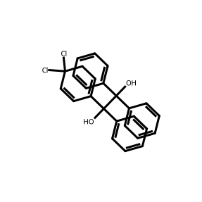 OC(C1=CCC(Cl)(Cl)C=C1)(c1ccccc1)C(O)(c1ccccc1)c1ccccc1